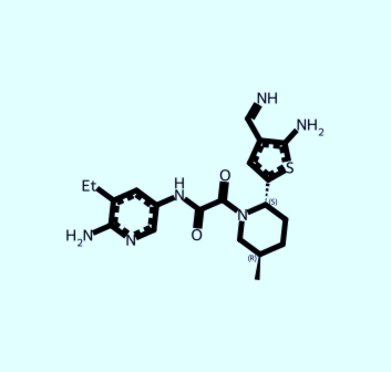 CCc1cc(NC(=O)C(=O)N2C[C@H](C)CC[C@H]2c2cc(C=N)c(N)s2)cnc1N